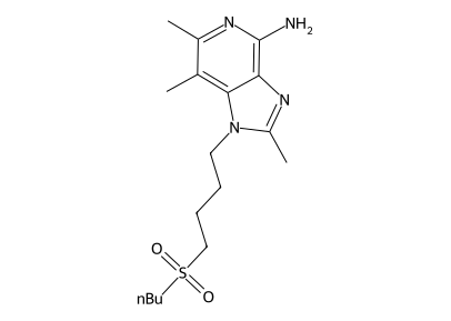 CCCCS(=O)(=O)CCCCn1c(C)nc2c(N)nc(C)c(C)c21